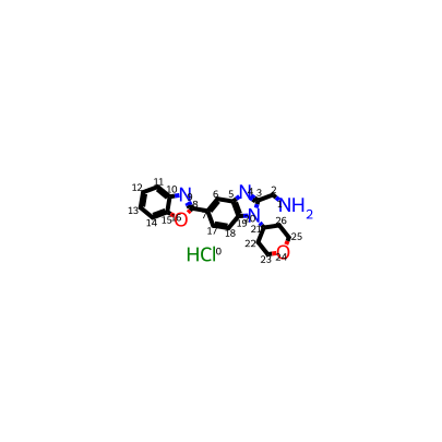 Cl.NCc1nc2cc(-c3nc4ccccc4o3)ccc2n1C1CCOCC1